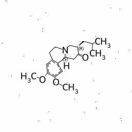 COc1cc2c(cc1OC)[C@@H]1CC(=O)[C@H](CC(C)C)CN1CC2